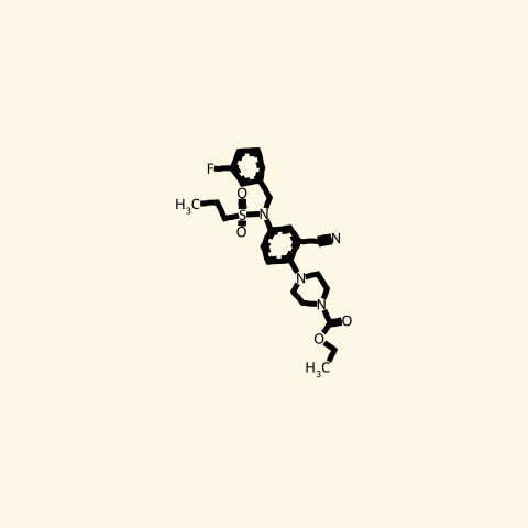 CCCS(=O)(=O)N(Cc1cccc(F)c1)c1ccc(N2CCN(C(=O)OCC)CC2)c(C#N)c1